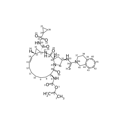 C=C(C)OC(=O)N[C@H]1CCCCC/C=C\[C@@H]2C[C@@]2(C(=O)NS(=O)(=O)C2CC2)NC(=O)[C@@H]2C[C@@H](NC(=S)N3CCc4ccccc4C3)CN2C1=O